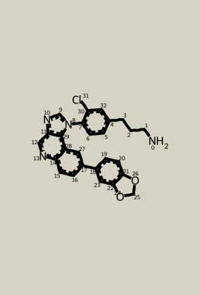 NCCCc1ccc(-n2cnc3cnc4ccc(-c5ccc6c(c5)OCO6)cc4c32)c(Cl)c1